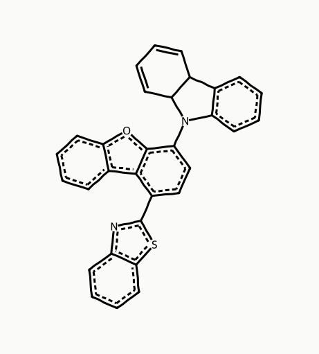 C1=CC2c3ccccc3N(c3ccc(-c4nc5ccccc5s4)c4c3oc3ccccc34)C2C=C1